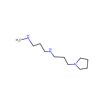 CNCCCNCCCN1CCCC1